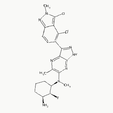 Cc1nc2c(-c3ccc4nn(C)c(Cl)c4c3Cl)n[nH]c2nc1N(C)[C@@H]1CCC[C@H](N)[C@@H]1F